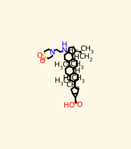 C=C(C)[C@@H]1CC[C@]2(NCCN3CCS(=O)(=O)CC3)CC[C@]3(C)[C@H](CC[C@@H]4[C@@]5(C)CC=C(C6=CC7C(C6)C7C(=O)O)C(C)(C)[C@@H]5CC[C@]43C)[C@@H]12